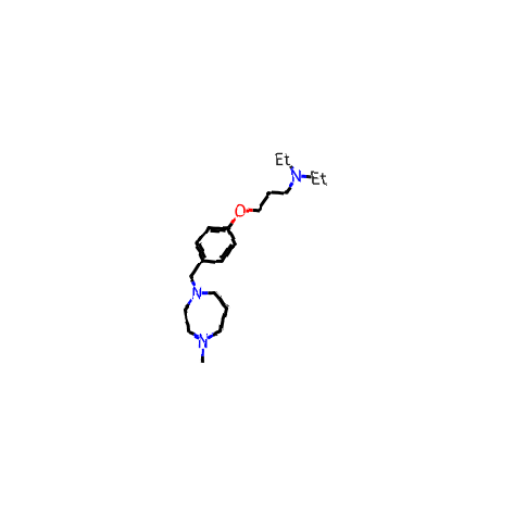 CCN(CC)CCCOc1ccc(CN2CCCN(C)CC2)cc1